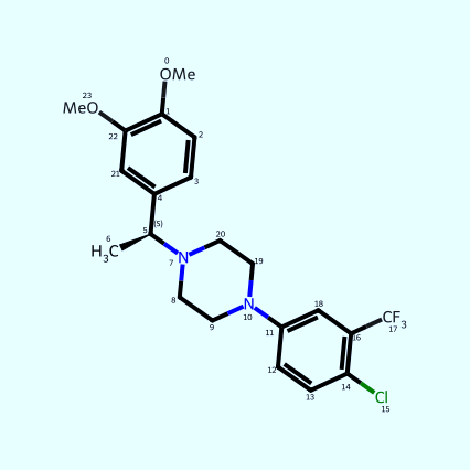 COc1ccc([C@H](C)N2CCN(c3ccc(Cl)c(C(F)(F)F)c3)CC2)cc1OC